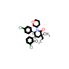 C[C@]1(CC(=O)O)C[C@H](c2cccc(Cl)c2)[C@@H](c2ccc(Cl)cc2)N([C@H]2CCCOC2)C1=O